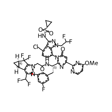 COc1ccnc(-c2cc(=O)n(-c3ccc(Cl)c4c(NS(=O)(=O)C5CC5)nn(CC(F)F)c34)c([C@H](Cc3cc(F)cc(F)c3)NC(=O)Cn3nc(C(F)F)c4c3C(F)(F)[C@@H]3C[C@H]43)n2)n1